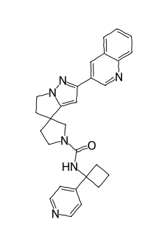 O=C(NC1(c2ccncc2)CCC1)N1CCC2(CCn3nc(-c4cnc5ccccc5c4)cc32)C1